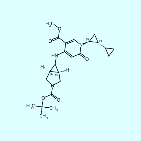 COC(=O)c1cn([C@H]2C[C@@H]2C2CC2)c(=O)cc1NC1[C@H]2CN(C(=O)OC(C)(C)C)C[C@@H]12